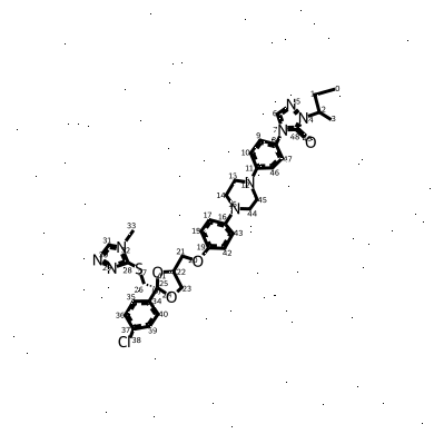 CCC(C)n1ncn(-c2ccc(N3CCN(c4ccc(OCC5CO[C@@](CSc6nncn6C)(c6ccc(Cl)cc6)O5)cc4)CC3)cc2)c1=O